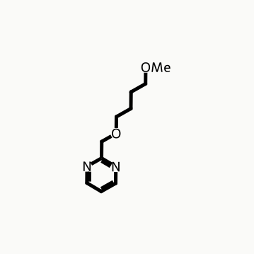 COCCCCOCc1ncccn1